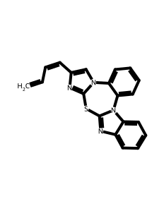 C=C/C=C\c1cn2c(n1)sc1nc3ccccc3n1c1ccccc12